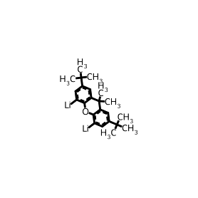 [Li][c]1cc(C(C)(C)C)cc2c1Oc1[c]([Li])cc(C(C)(C)C)cc1C2(C)C